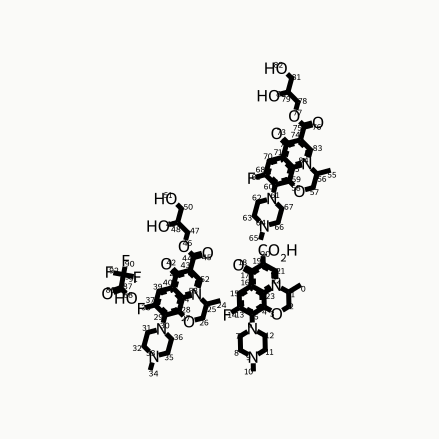 CC1COc2c(N3CCN(C)CC3)c(F)cc3c(=O)c(C(=O)O)cn1c23.CC1COc2c(N3CCN(C)CC3)c(F)cc3c(=O)c(C(=O)OCC(O)CO)cn1c23.CC1COc2c(N3CCN(C)CC3)c(F)cc3c(=O)c(C(=O)OCC(O)CO)cn1c23.O=C(O)C(F)(F)F